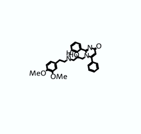 COc1ccc(CCNC[C@H](O)Cn2c(-c3ccccc3)cc(=O)nc2-c2ccccc2)cc1OC